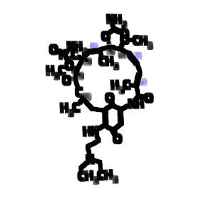 CCN(CC)CCNC1=C2C[C@@H](C)C[C@H](OC)[C@H](OC(N)=O)[C@@H](C)/C=C(\C)[C@H](OC(N)=O)[C@@H](OC)/C=C\C=C(/C)C(=O)NC(=CC1=O)C2=O